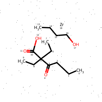 CCCC(=O)C(CC)(CC)C(=O)O.CCCCO.[Zr]